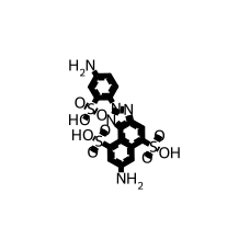 Nc1ccc(-n2nc3cc(S(=O)(=O)O)c4cc(N)cc(S(=O)(=O)O)c4c3n2)c(S(=O)(=O)O)c1